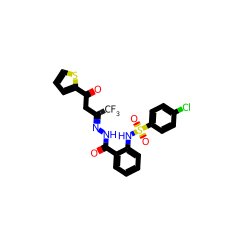 O=C(C/C(=N/NC(=O)c1ccccc1NS(=O)(=O)c1ccc(Cl)cc1)C(F)(F)F)c1cccs1